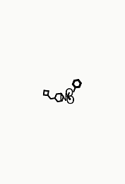 O=C(OCc1ccccc1)N1CCC(CC2CCC2)CC1